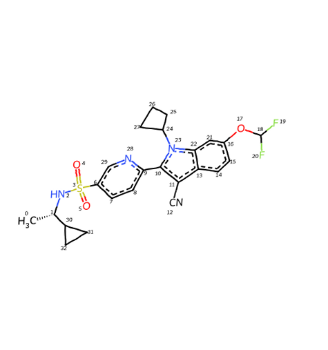 C[C@H](NS(=O)(=O)c1ccc(-c2c(C#N)c3ccc(OC(F)F)cc3n2C2CCC2)nc1)C1CC1